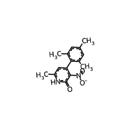 Cc1cc(C)c(-c2cc(C)[nH]c(=O)c2[N+](=O)[O-])c(C)c1